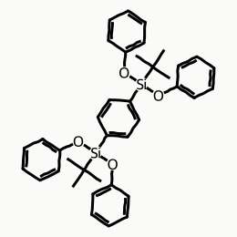 CC(C)(C)[Si](Oc1ccccc1)(Oc1ccccc1)c1ccc([Si](Oc2ccccc2)(Oc2ccccc2)C(C)(C)C)cc1